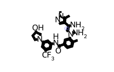 Cc1ccc(C(=O)Nc2cc(N3CCC(O)C3)cc(C(F)(F)F)c2)cc1N(N)/C=C(\N)c1cnn(C)c1C